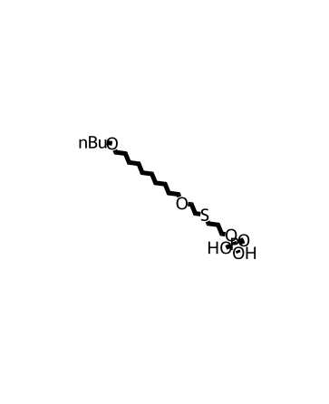 CCCCOCCCCCCCCCCOCCSCCCOP(=O)(O)O